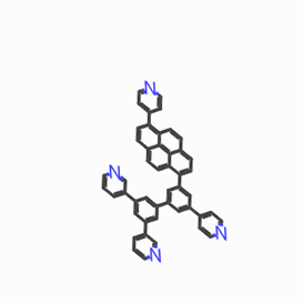 c1cncc(-c2cc(-c3cccnc3)cc(-c3cc(-c4ccncc4)cc(-c4ccc5ccc6c(-c7ccncc7)ccc7ccc4c5c76)c3)c2)c1